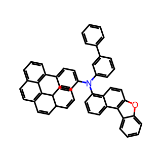 C1=CC2C=Cc3ccc4cccc(-c5ccc(N(c6cccc(-c7ccccc7)c6)c6cccc7c6ccc6oc8ccccc8c67)cc5)c4c3C2C=C1